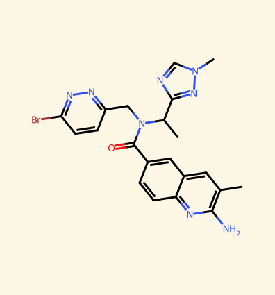 Cc1cc2cc(C(=O)N(Cc3ccc(Br)nn3)C(C)c3ncn(C)n3)ccc2nc1N